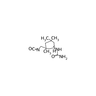 CC1(C)C[SH](NC(N)=O)CC(C)(CN=C=O)C1